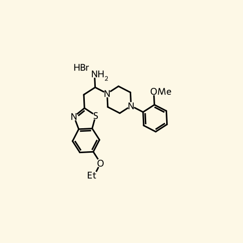 Br.CCOc1ccc2nc(CC(N)N3CCN(c4ccccc4OC)CC3)sc2c1